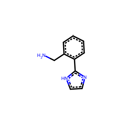 NCc1c[c]ccc1-c1ncc[nH]1